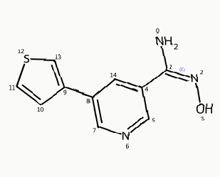 N/C(=N/O)c1cncc(-c2ccsc2)c1